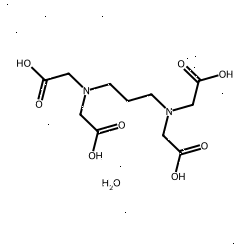 O.O=C(O)CN(CCCN(CC(=O)O)CC(=O)O)CC(=O)O